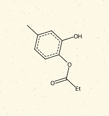 CCC(=O)Oc1ccc(C)cc1O